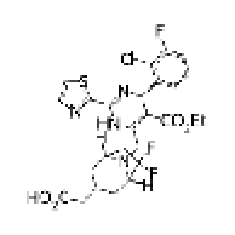 CCOC(=O)C1=C(CN2[C@@H]3CC(CC(=O)O)C[C@H]2C(F)(F)C3)NC(c2nccs2)=N[C@H]1c1cccc(F)c1Cl